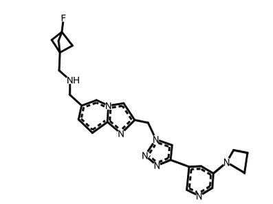 FC12CC(CNCc3ccc4nc(Cn5cc(-c6cncc(N7CCC7)c6)nn5)cn4c3)(C1)C2